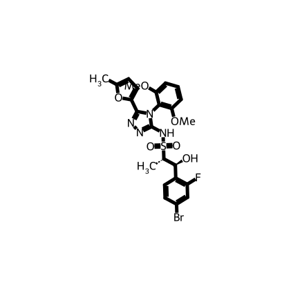 COc1cccc(OC)c1-n1c(NS(=O)(=O)[C@@H](C)[C@@H](O)c2ccc(Br)cc2F)nnc1-c1ccc(C)o1